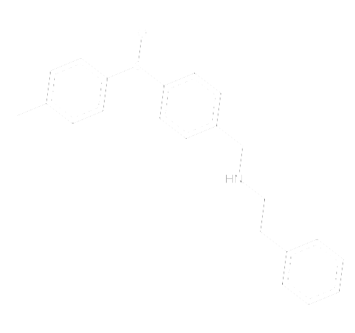 [CH]c1ccc([S+]([O-])c2ccc(CNCCc3ccccc3)cc2)cc1